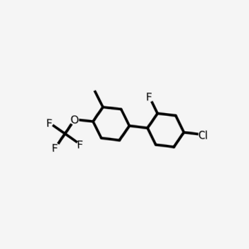 CC1CC(C2CCC(Cl)CC2F)CCC1OC(F)(F)F